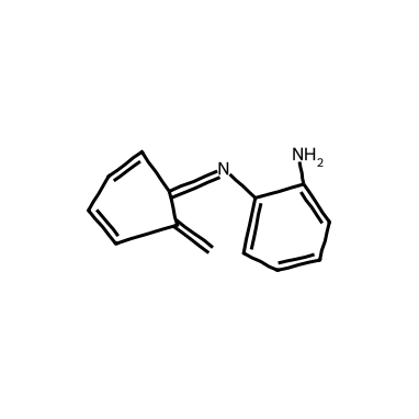 C=C1C=CC=C/C1=N/c1ccccc1N